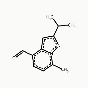 Cc1ccc(C=O)c2cc(C(C)C)nn12